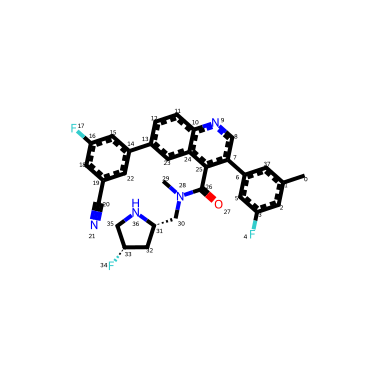 Cc1cc(F)cc(-c2cnc3ccc(-c4cc(F)cc(C#N)c4)cc3c2C(=O)N(C)C[C@@H]2C[C@H](F)CN2)c1